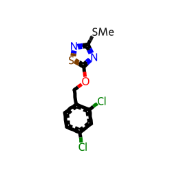 CSc1nsc(OCc2ccc(Cl)cc2Cl)n1